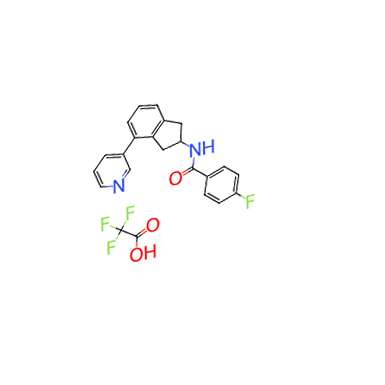 O=C(NC1Cc2cccc(-c3cccnc3)c2C1)c1ccc(F)cc1.O=C(O)C(F)(F)F